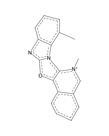 Cc1cccc2nc3oc4c5ccccc5c[n+](C)c4n3c12